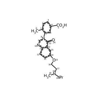 Cc1ccc(C(=O)O)cc1-n1cnc2ccc(OCCN(C)C(C)C)cc2c1=O